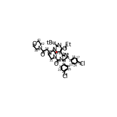 CCOc1nc(C(C)(C)C)ncc1C1=N[C@H](c2ccc(Cl)cc2)[C@H](c2ccc(Cl)cc2)N1C(=O)N1CCN(CC(=O)N2CCOCC2)CC1